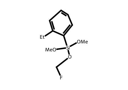 CCc1ccccc1[Si](OC)(OC)OCF